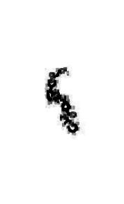 CC(CN1CCCCC1)NC(=O)c1ccc(Nc2nc3c(C4=CCN(C(=O)CCC(F)(F)F)CC4)cccn3n2)cc1